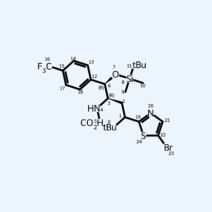 CC(C)(C)C(C[C@@H](NC(=O)O)[C@H](O[Si](C)(C)C(C)(C)C)c1ccc(C(F)(F)F)cc1)c1ncc(Br)s1